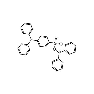 O=S(=O)(O[I+](c1ccccc1)c1ccccc1)c1ccc(C(c2ccccc2)c2ccccc2)cc1